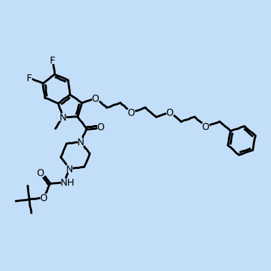 Cn1c(C(=O)N2CCN(NC(=O)OC(C)(C)C)CC2)c(OCCOCCOCCOCc2ccccc2)c2cc(F)c(F)cc21